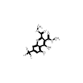 COC(=O)c1nc2cc(C(F)(F)F)cc(Cl)c2c(O)c1C(=O)OC